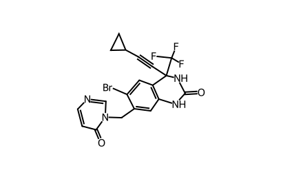 O=C1Nc2cc(Cn3cnccc3=O)c(Br)cc2C(C#CC2CC2)(C(F)(F)F)N1